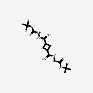 CC(C)(C)OC(=O)NOC(=O)C1CC(C(=O)ONC(=O)OC(C)(C)C)C1